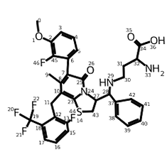 COc1cccc(-c2c(C)c(Cc3c(F)cccc3C(F)(F)F)c3n(c2=O)C(C(NCCC(N)C(=O)O)c2ccccc2)CS3)c1F